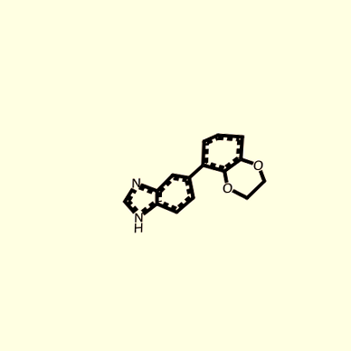 c1cc2c(c(-c3ccc4[nH]cnc4c3)c1)OCCO2